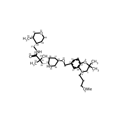 COCCCN1CC(C)(C)Oc2ccc(CO[C@@H]3CC[C@@H](CC(C)(C)C(=O)NC[C@H]4CCOC[C@@H]4C)NC3)cc21